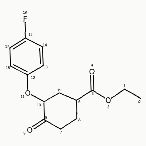 CCOC(=O)C1CCC(=O)C(Oc2ccc(F)cc2)C1